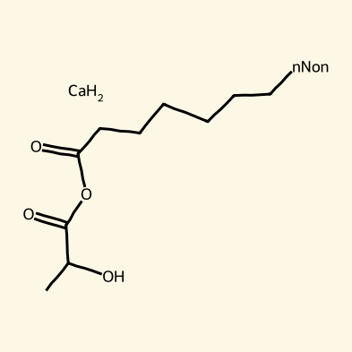 CCCCCCCCCCCCCCCC(=O)OC(=O)C(C)O.[CaH2]